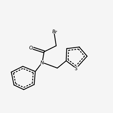 O=C(CBr)N(Cc1cccs1)c1ccccc1